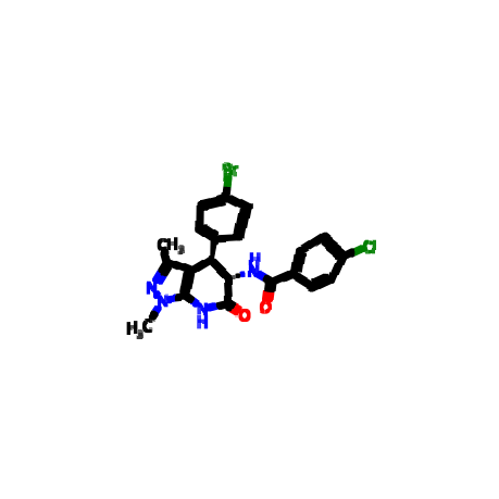 Cc1nn(C)c2c1[C@@H](c1ccc(Br)cc1)[C@H](NC(=O)c1ccc(Cl)cc1)C(=O)N2